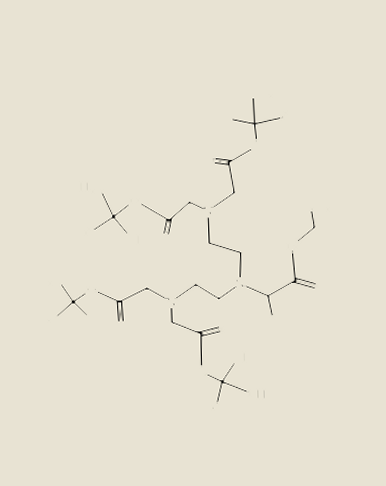 CCOC(=O)C(C)N(CCN(CC(=O)OC(C)(C)C)CC(=O)OC(C)(C)C)CCN(CC(=O)OC(C)(C)C)CC(=O)OC(C)(C)C